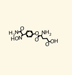 NC(=O)C(=NO)c1ccc(OC(=O)C(N)CCC(=O)O)cc1